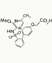 COc1nc(C)cnc1NS(=O)(=O)c1ccccc1-c1ccc(OCC(=O)O)cc1